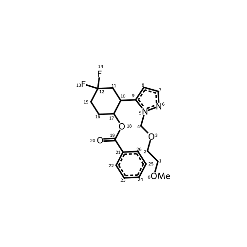 COCCOCn1nccc1C1CC(F)(F)CCC1OC(=O)c1ccccc1